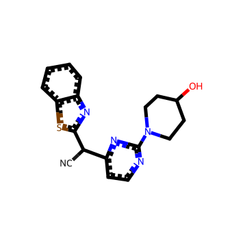 N#CC(c1ccnc(N2CCC(O)CC2)n1)c1nc2ccccc2s1